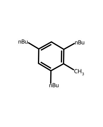 CCCCc1cc(CCCC)c(C)c(CCCC)c1